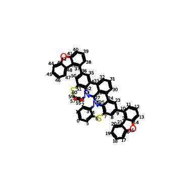 c1ccc2c(c1)Sc1cc(-c3cccc4oc5ccccc5c34)cc3c1N2C1c2c-3cccc2-c2cc(-c3cccc4oc5ccccc5c34)cc3c2N1c1ccccc1S3